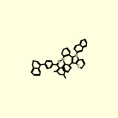 CC1=C(/C(=N\N2C3=C(C=CCC3)c3c(c4c(n3-c3ccc5ccccc5c3)C=CCC4)-c3ccccc32)c2ccc(C3=CCCc4ccccc43)cc2)C=CC(C)C1